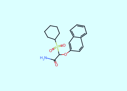 NC(=O)C(Oc1ccc2ccccc2c1)S(=O)(=O)C1CCCCC1